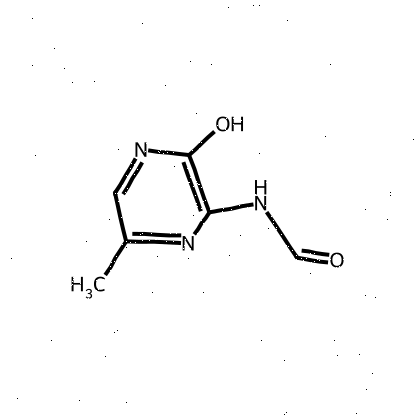 Cc1cnc(O)c(NC=O)n1